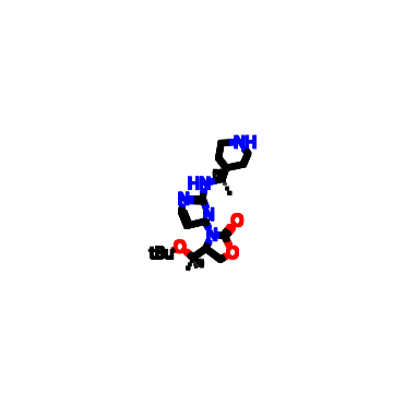 C[C@H](Nc1nccc(N2C(=O)OCC2[C@H](C)OC(C)(C)C)n1)C1CCNCC1